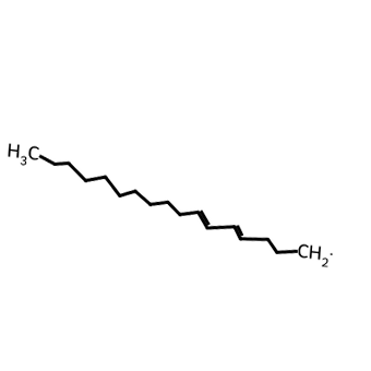 [CH2]CC/C=C/C=C/CCCCCCCCCC